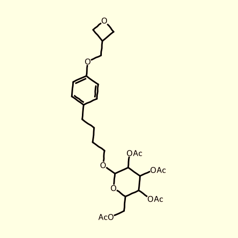 CC(=O)OCC1OC(OCCCCc2ccc(OCC3COC3)cc2)C(OC(C)=O)C(OC(C)=O)C1OC(C)=O